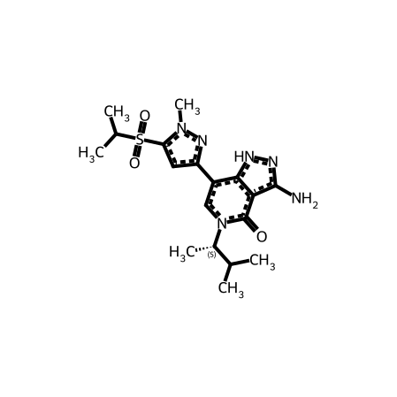 CC(C)[C@H](C)n1cc(-c2cc(S(=O)(=O)C(C)C)n(C)n2)c2[nH]nc(N)c2c1=O